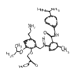 Cc1ccc(NCc2cc(CCN)cc(OC(C)C)c2OCC(=O)O)c(C(=O)Nc2ccc(C(=N)N)cc2)c1